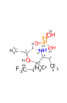 CC1CNC(CC(F)(F)F)C(C)(CC(F)(F)F)O1.O=[PH](O)O